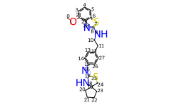 COc1cccc2sc(NCCc3ccc(/N=C4/NC5(CCCC5)CS4)cc3)nc12